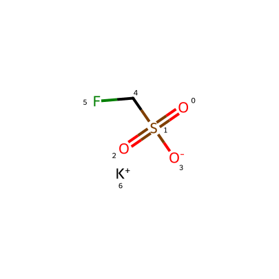 O=S(=O)([O-])CF.[K+]